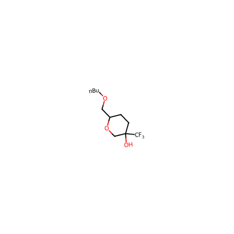 CCCCOCC1CCC(O)(C(F)(F)F)CO1